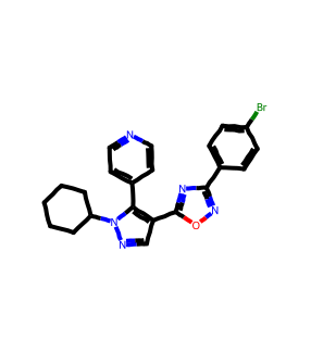 Brc1ccc(-c2noc(-c3cnn(C4CCCCC4)c3-c3ccncc3)n2)cc1